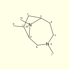 CC1CC2CCN(C)CC1N2C